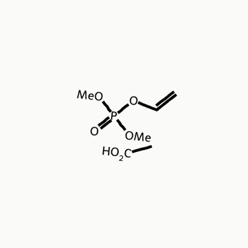 C=COP(=O)(OC)OC.CC(=O)O